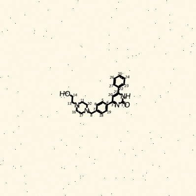 O=c1nc(-c2ccc(CN3CCN(CCO)CC3)cc2)cc(-c2ccccc2)[nH]1